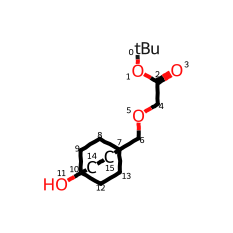 CC(C)(C)OC(=O)COCC12CCC(O)(CC1)CC2